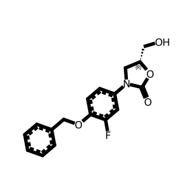 O=C1O[C@@H](CO)CN1c1ccc(OCc2ccccc2)c(F)c1